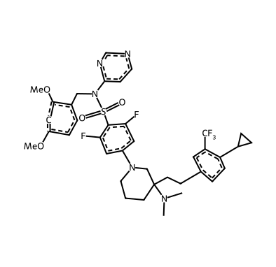 COc1ccc(CN(c2ccncn2)S(=O)(=O)c2c(F)cc(N3CCCC(CCc4ccc(C5CC5)c(C(F)(F)F)c4)(N(C)C)C3)cc2F)c(OC)c1